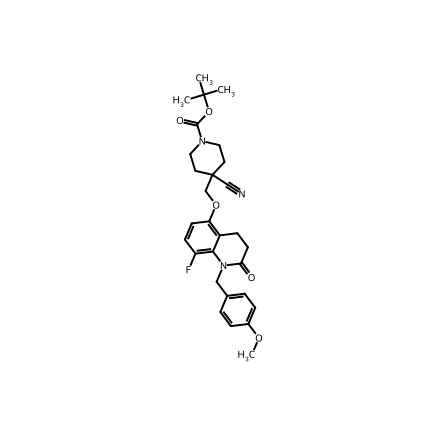 COc1ccc(CN2C(=O)CCc3c(OCC4(C#N)CCN(C(=O)OC(C)(C)C)CC4)ccc(F)c32)cc1